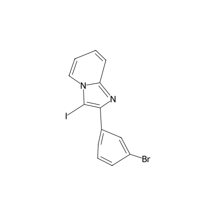 Brc1cccc(-c2nc3ccccn3c2I)c1